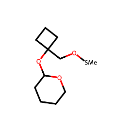 CSOCC1(OC2CCCCO2)CCC1